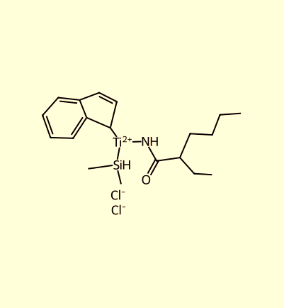 CCCCC(CC)C(=O)[NH][Ti+2]([CH]1C=Cc2ccccc21)[SiH](C)C.[Cl-].[Cl-]